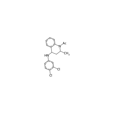 CC(=O)N1c2ccccc2C(Nc2ccc(Cl)c(Cl)c2)CC1C